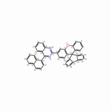 c1ccc2c(c1)Oc1cc(-c3nc(-c4cccc5ccccc45)c4ccccc4n3)ccc1C21c2ccccc2-c2ccccc21